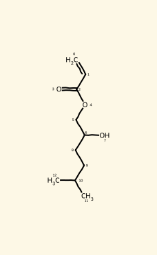 C=CC(=O)OCC(O)CCC(C)C